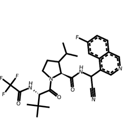 CC(C)C1CCN(C(=O)[C@@H](NC(=O)C(F)(F)F)C(C)(C)C)[C@@H]1C(=O)NC(C#N)c1cncc2ccc(F)cc12